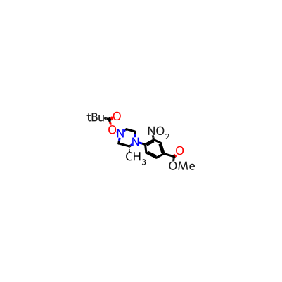 COC(=O)c1ccc(N2CCN(OC(=O)C(C)(C)C)C[C@H]2C)c([N+](=O)[O-])c1